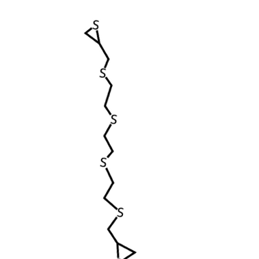 C(CSCCSCC1CS1)SCCSCC1CS1